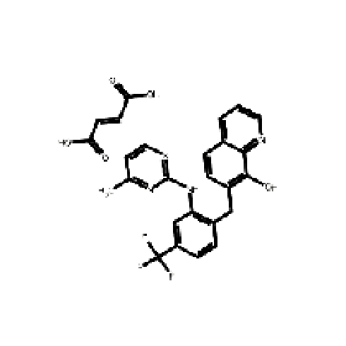 Cc1ccnc(Nc2cc(C(F)(F)F)ccc2Cc2ccc3cccnc3c2O)n1.O=C(O)/C=C/C(=O)O